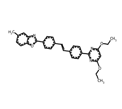 CCOc1cc(OCC)nc(-c2ccc(C=Cc3ccc(-c4nc5cc(C)ccc5o4)cc3)cc2)n1